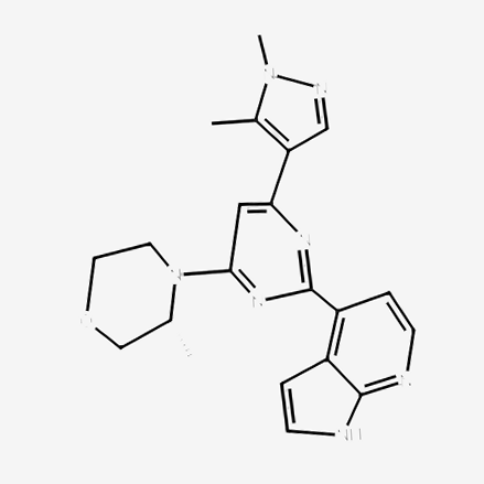 Cc1c(-c2cc(N3CCOC[C@H]3C)nc(-c3ccnc4[nH]ccc34)n2)cnn1C